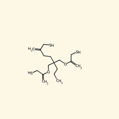 C=C(CS)CCC(CCC)(COC(=C)CS)COC(=C)CS